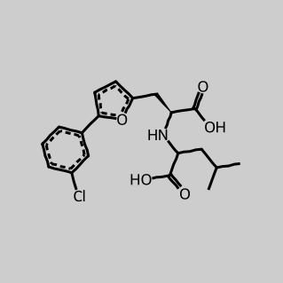 CC(C)CC(N[C@@H](Cc1ccc(-c2cccc(Cl)c2)o1)C(=O)O)C(=O)O